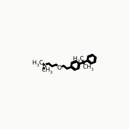 CN(C)CCCOCCc1ccc(C(C)(C)c2ccccc2)cc1